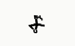 BC1(C)CO1